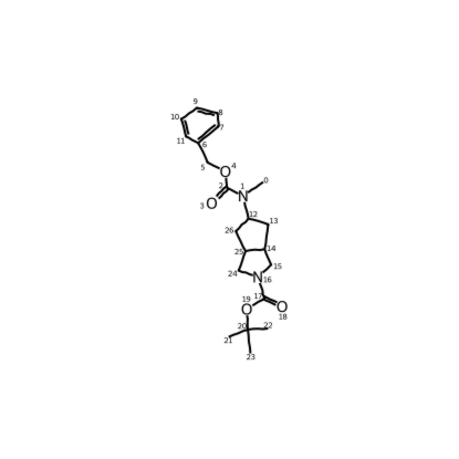 CN(C(=O)OCc1ccccc1)C1CC2CN(C(=O)OC(C)(C)C)CC2C1